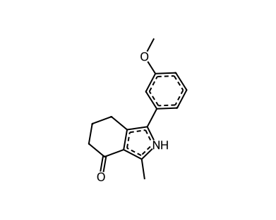 COc1cccc(-c2[nH]c(C)c3c2CCCC3=O)c1